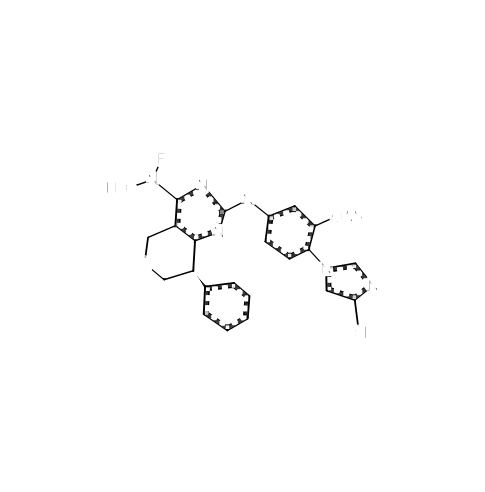 CCN(C)c1nc(Nc2ccc(-n3cnc(Cl)c3)c(OC)c2)nc2c1COC[C@@H]2c1ccccc1